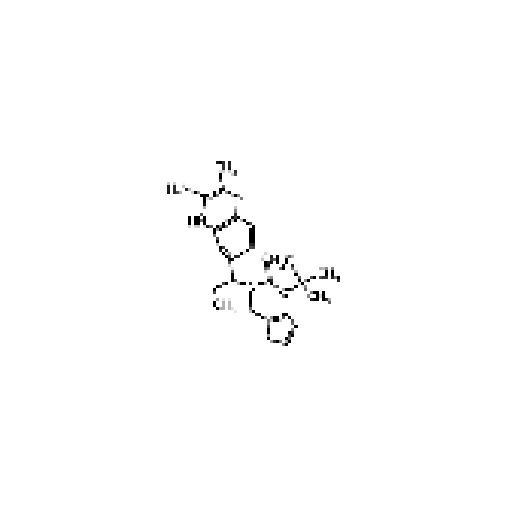 CCC(c1ccc2c(c1)NC(N)=C(C)O2)N(Cc1cccs1)C(=O)OC(C)(C)C